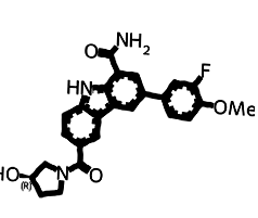 COc1ccc(-c2cc(C(N)=O)c3[nH]c4ccc(C(=O)N5CC[C@@H](O)C5)cc4c3c2)cc1F